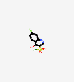 O=S(=O)(Cl)c1cnc2cc(F)ccc2c1O